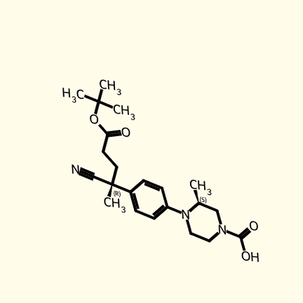 C[C@H]1CN(C(=O)O)CCN1c1ccc([C@](C)(C#N)CCC(=O)OC(C)(C)C)cc1